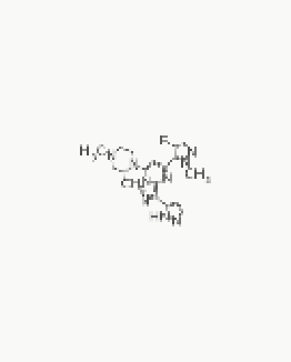 C[C@@H]1CN(C)CCN1c1cc(-c2c(F)cnn2C)nc2c(-c3ccn[nH]3)ncn12